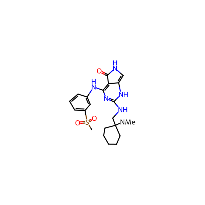 CNC1(CNc2nc(Nc3cccc(S(C)(=O)=O)c3)c3c(=O)[nH]cc-3[nH]2)CCCCC1